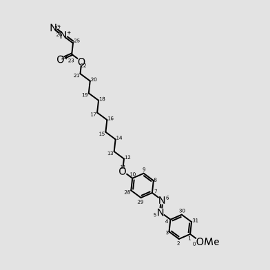 COc1ccc(/N=N/c2ccc(OCCCCCCCCCCOC(=O)C=[N+]=[N-])cc2)cc1